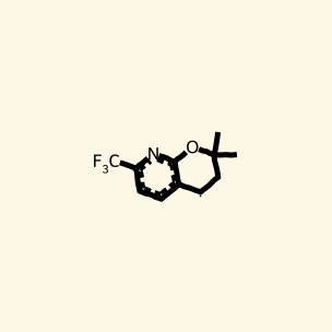 CC1(C)C[CH]c2ccc(C(F)(F)F)nc2O1